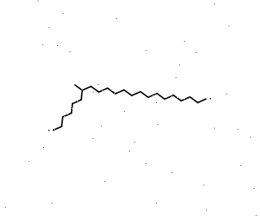 [CH2]CCCCCCCCCCCCCCC(C)CCCCC[CH2]